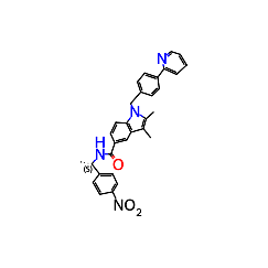 Cc1c(C)n(Cc2ccc(-c3ccccn3)cc2)c2ccc(C(=O)N[C@@H](C)c3ccc([N+](=O)[O-])cc3)cc12